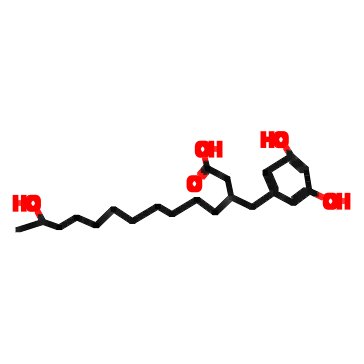 CC(O)CCCCCCCCCC(CC(=O)O)Cc1cc(O)cc(O)c1